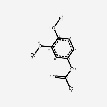 CCOc1ccc(OC(=O)CC)cc1OCC